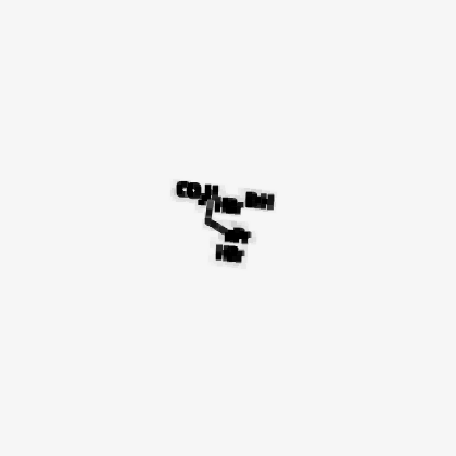 Br.Br.Br.CCCCC(=O)O